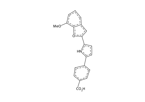 COc1cccc2cc(-c3ccc(-c4ccc(C(=O)O)cc4)[nH]3)oc12